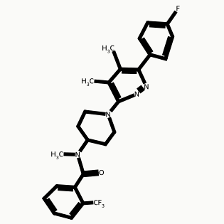 Cc1c(-c2ccc(F)cc2)nnc(N2CCC(N(C)C(=O)c3ccccc3C(F)(F)F)CC2)c1C